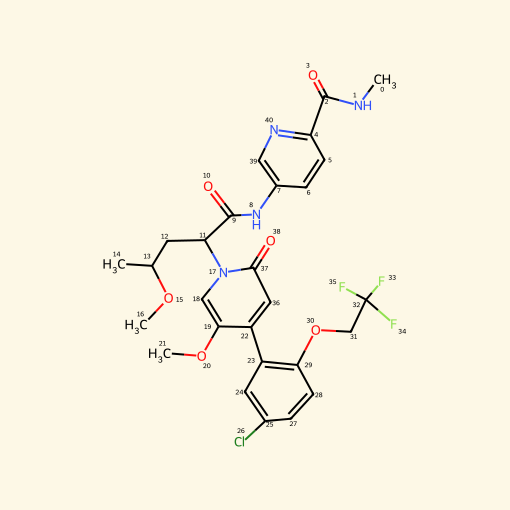 CNC(=O)c1ccc(NC(=O)C(CC(C)OC)n2cc(OC)c(-c3cc(Cl)ccc3OCC(F)(F)F)cc2=O)cn1